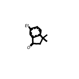 CCc1ccc2c(c1)C(=O)CC2(C)C